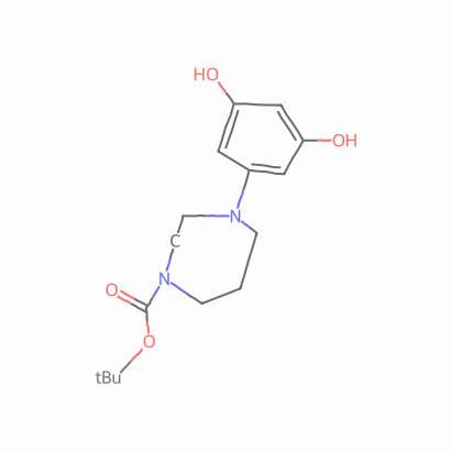 CC(C)(C)OC(=O)N1CCCN(c2cc(O)cc(O)c2)CC1